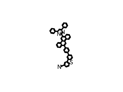 N#Cc1ccc2sc3ccc(-c4ccc(-c5cc6c7ccccc7c(-c7nc(-c8ccccc8)cc(-c8ccccc8)n7)cc6c6ccccc56)cc4)cc3c2c1